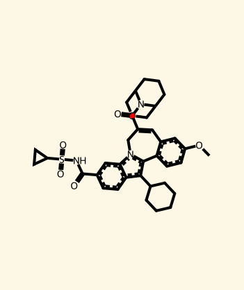 COc1ccc2c(c1)C=C(C(=O)N1C3CCCC1COC3)Cn1c-2c(C2CCCCC2)c2ccc(C(=O)NS(=O)(=O)C3CC3)cc21